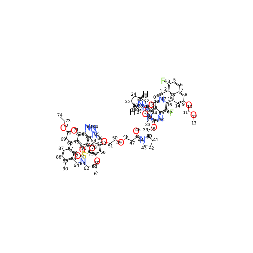 C#Cc1c(F)ccc2cc(OCOC)cc(-c3ncc4c(N5C[C@H]6CC[C@@H](C5)N6C(=O)OC(C)(C)C)nc(OC[C@@H]5CCCN5C(=O)CCOCCOc5ccc6c(c5)O[C@H](C)CN(Cc5cc(C(CC(=O)OCC)c7cc(OC)c8c(c7)nnn8C)ccc5C)S6(=O)=O)nc4c3F)c12